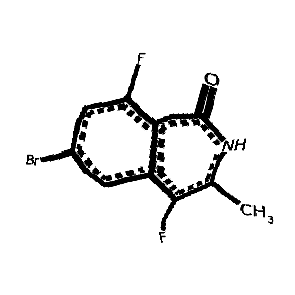 Cc1[nH]c(=O)c2c(F)cc(Br)cc2c1F